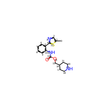 Cc1cnc(-c2ccccc2NC(=O)OCC2CCNCC2)s1